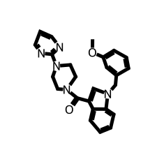 COc1cccc(Cn2cc(C(=O)N3CCN(c4ncccn4)CC3)c3ccccc32)c1